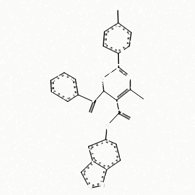 CC1=C(C(=O)Nc2ccc3[nH]ncc3c2)C(C(=O)c2ccccc2)NC(c2ccc(Cl)cc2)=N1